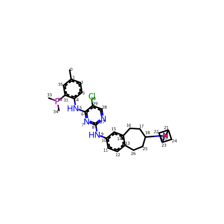 Cc1ccc(Nc2nc(Nc3ccc4c(c3)CCC(N3CC5CC3C5)CC4)ncc2Cl)c(P(C)C)c1